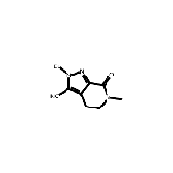 CCn1nc2c(c1C#N)CCN(C)C2=O